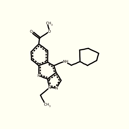 CCn1ncc2c(NCC3CCCCC3)c3cc(C(=O)OC)ccc3nc21